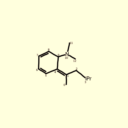 CC(CC(C)C)=C1C=CC=CC1N(C)C